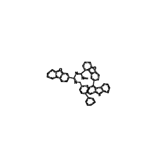 C=N/C(=N\C(=N/Cc1ccc(-c2ccccc2)cc1)c1ccc2c(c1)oc1ccccc12)c1cccc2oc3ccc(-c4cccc5sc6ccccc6c45)cc3c12